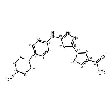 CN1CCN(c2ccc(Nc3nnc(-c4cc(C(N)=O)cs4)s3)cc2)CC1